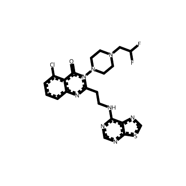 O=c1c2c(Cl)cccc2nc(CCNc2ncnc3scnc23)n1N1CCN(CC(F)F)CC1